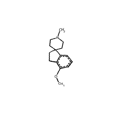 COc1cccc2c1CCC21CCN(C)CC1